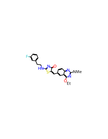 CCOc1nc(NC)nc2ccc(C=C3SC(NCCc4cccc(F)c4)=NC3=O)cc12